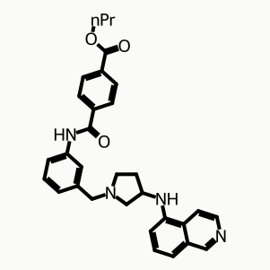 CCCOC(=O)c1ccc(C(=O)Nc2cccc(CN3CCC(Nc4cccc5cnccc45)C3)c2)cc1